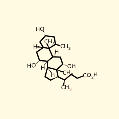 CC1C[C@@H](O)C[C@H]2C[C@@H](O)[C@H]3[C@H](C[C@H](O)[C@]4(C)[C@@H]([C@H](C)CCC(=O)O)CC[C@@H]34)[C@@]12C